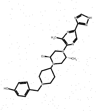 CC[C@H]1CN(c2ncc(-c3nc[nH]n3)nc2C)[C@H](C)CN1C1CCN(Cc2ccc(O)cc2)CC1